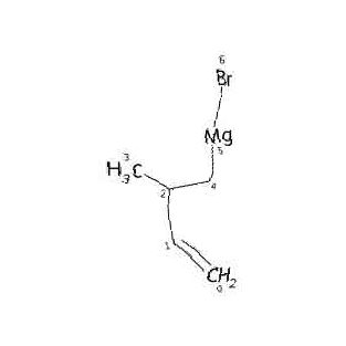 C=CC(C)[CH2][Mg][Br]